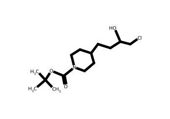 CC(C)(C)OC(=O)N1CCC(CCC(O)CCl)CC1